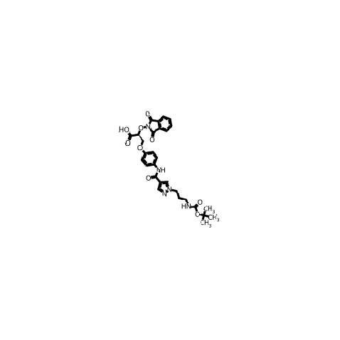 CC(C)(C)OC(=O)NCCCn1cc(C(=O)Nc2ccc(OC[C@H](ON3C(=O)c4ccccc4C3=O)C(=O)O)cc2)cn1